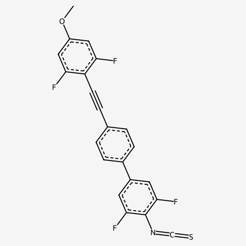 COc1cc(F)c(C#Cc2ccc(-c3cc(F)c(N=C=S)c(F)c3)cc2)c(F)c1